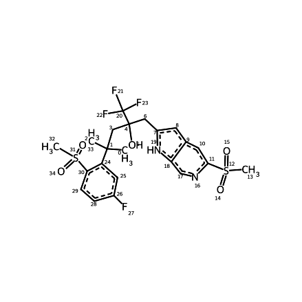 CC(C)(CC(O)(Cc1cc2cc(S(C)(=O)=O)ncc2[nH]1)C(F)(F)F)c1cc(F)ccc1S(C)(=O)=O